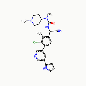 Cc1c(C(C#N)NC(=O)N(C)C2CCN(C)CC2)ccc(-c2cncc(-c3ccc[nH]3)c2)c1Cl